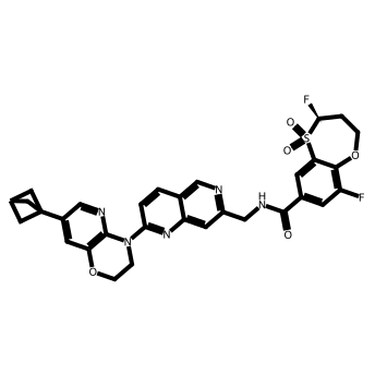 O=C(NCc1cc2nc(N3CCOc4cc(C56CC(C5)C6)cnc43)ccc2cn1)c1cc(F)c2c(c1)S(=O)(=O)[C@@H](F)CCO2